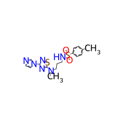 Cc1ccc(S(=O)(=O)NCCCN(C)c2nc(-n3ccnc3)ns2)cc1